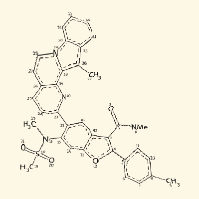 CNC(=O)c1c(-c2ccc(C)cc2)oc2cc(N(C)S(C)(=O)=O)c(-c3ccc4ccn5c6ccccc6c(C)c5c4n3)cc12